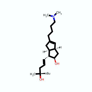 CCCC[C@](C)(O)C/C=C/[C@@H]1[C@H]2CC(CCCCN(C)C)=C[C@H]2C[C@H]1O